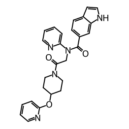 O=C(CN(C(=O)c1ccc2cc[nH]c2c1)c1ccccn1)N1CCC(Oc2ccccn2)CC1